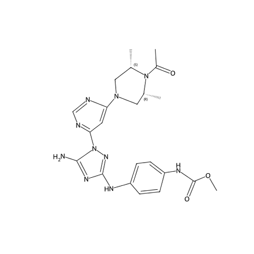 COC(=O)Nc1ccc(Nc2nc(N)n(-c3cc(N4C[C@@H](C)N(C(C)=O)[C@@H](C)C4)ncn3)n2)cc1